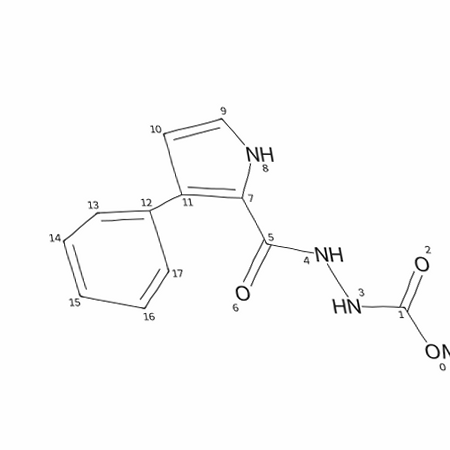 COC(=O)NNC(=O)c1[nH]ccc1-c1ccccc1